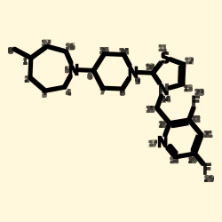 CC1CCCN(C2CCN(C3SC=CN3Cc3ncc(F)cc3F)CC2)CC1